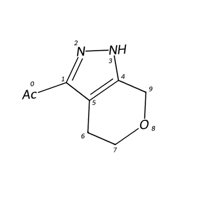 CC(=O)c1n[nH]c2c1CCOC2